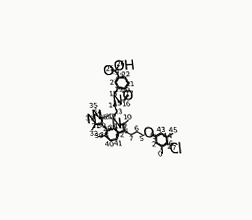 Cc1cc(OCCCc2c(C)n(CCCN(C=O)Cc3cccc(C(=O)O)c3)c3c(-c4c(C)nn(C)c4C)c(C)ccc23)cc(C)c1Cl